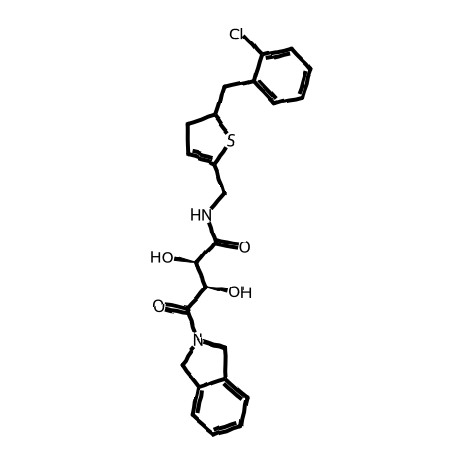 O=C(NCC1=CCC(Cc2ccccc2Cl)S1)[C@H](O)[C@@H](O)C(=O)N1Cc2ccccc2C1